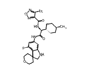 CCc1nonc1C(=O)N[C@H](C(=O)Nc1cc(F)c2c(c1)NCC21CCOCC1)[C@H]1CC[C@H](C)CC1